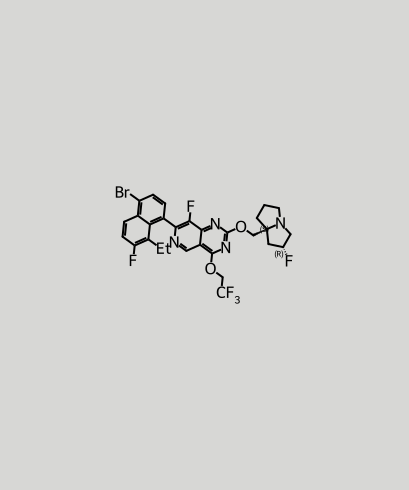 CCc1c(F)ccc2c(Br)ccc(-c3ncc4c(OCC(F)(F)F)nc(OC[C@@]56CCCN5C[C@H](F)C6)nc4c3F)c12